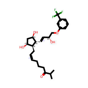 CC(C)C(=O)CCC/C=C\C[C@@H]1[C@@H](/C=C/[C@@H](O)COc2cccc(C(F)(F)F)c2)[C@H](O)C[C@@H]1O